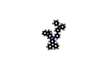 CC1(C)c2ccccc2-c2cc3c4cc5c6ccccc6c6ccccc6c5cc4n(-c4cccc(-c5ccc6c(c5)c5ccccc5n6-c5ccccc5)c4)c3cc21